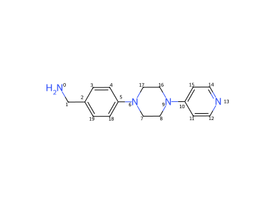 NCc1ccc(N2CCN(c3ccncc3)CC2)cc1